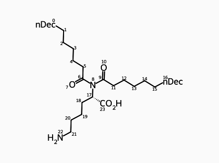 CCCCCCCCCCCCCCCC(=O)N(C(=O)CCCCCCCCCCCCCCC)[C@@H](CCCCN)C(=O)O